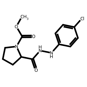 COC(=O)N1CCCC1C(=O)NNc1ccc(Cl)cc1